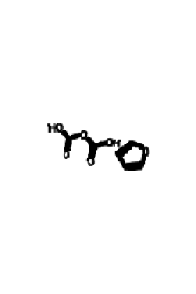 O=C(O)OC(=O)O.c1ccoc1